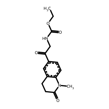 CCOC(=O)NCC(=O)c1ccc2c(c1)CCC(=O)N2C